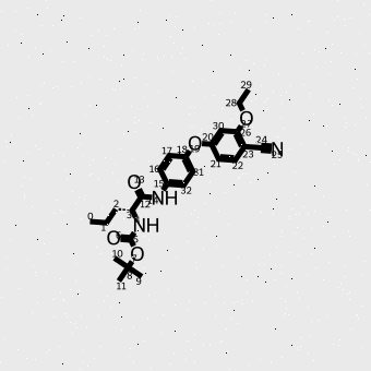 CCC[C@@H](NC(=O)OC(C)(C)C)C(=O)Nc1ccc(Oc2ccc(C#N)c(OCC)c2)cc1